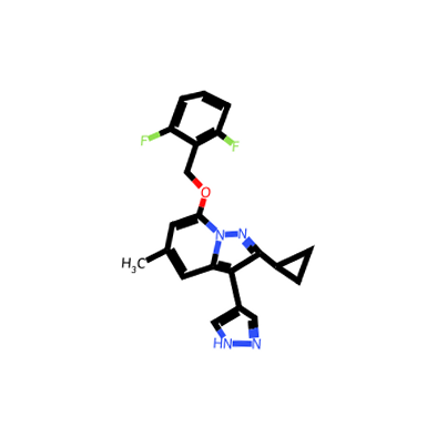 Cc1cc(OCc2c(F)cccc2F)n2nc(C3CC3)c(-c3cn[nH]c3)c2c1